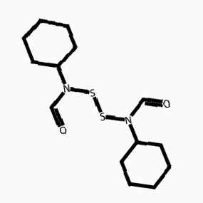 O=CN(SSN(C=O)C1CCCCC1)C1CCCCC1